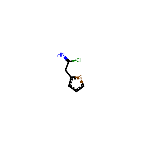 N=C(Cl)Cc1cccs1